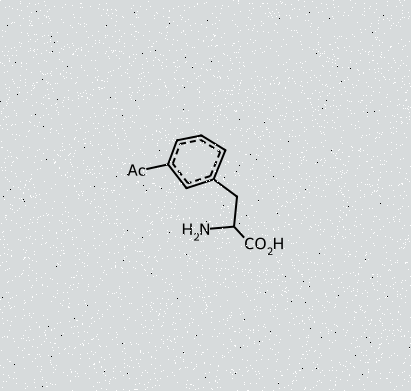 CC(=O)c1cccc(CC(N)C(=O)O)c1